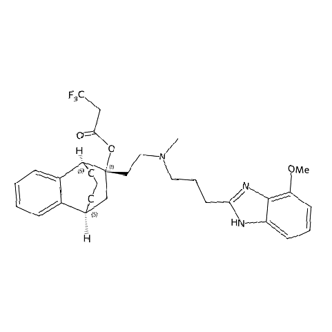 COc1cccc2[nH]c(CCCN(C)CC[C@@]3(OC(=O)CC(F)(F)F)C[C@@H]4CCC[C@H]3c3ccccc34)nc12